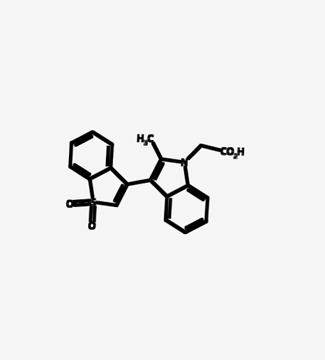 Cc1c(C2=CS(=O)(=O)c3ccccc32)c2ccccc2n1CC(=O)O